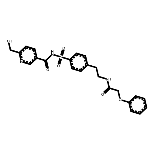 O=C(COc1ccccc1)NCCc1ccc(S(=O)(=O)NC(=O)c2ccc(CO)nc2)cc1